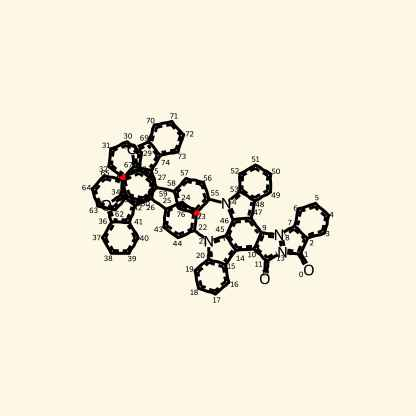 O=c1c2ccccc2n2c3c(c(=O)n12)c1c2ccccc2n(-c2ccc(-c4cc5ccccc5c5oc6ccccc6c45)cc2)c1c1c3c2ccccc2n1-c1ccc(-c2cc3ccccc3c3oc4ccccc4c23)cc1